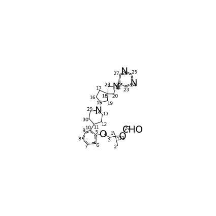 CC(C)(COc1ccccc1C1CCN([C@@H]2CCC3(C2)CN(c2cncnc2)C3)CC1)OC=O